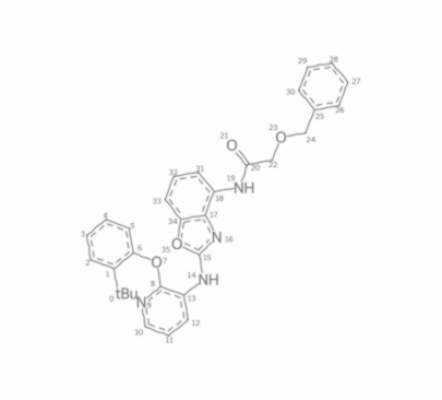 CC(C)(C)c1ccccc1Oc1ncccc1Nc1nc2c(NC(=O)COCc3ccccc3)cccc2o1